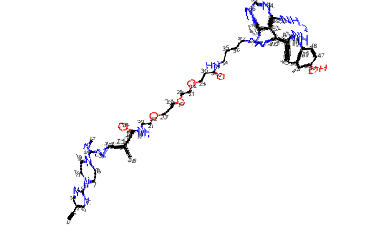 C#Cc1cnc(N2CCN(/C(N=C)=N/C=C(\C)C(=O)NCCOCCOCCOCCC(=O)NCCCCn3nc(-c4cc5cc(O)ccc5[nH]4)c4c(N)ncnc43)CC2)nc1